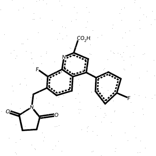 O=C(O)c1cc(-c2ccc(F)cc2)c2ccc(CN3C(=O)CCC3=O)c(F)c2n1